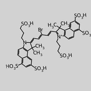 CC1(C)C(/C=C/C(Br)=C/C=C2/N(CCCS(=O)(=O)O)c3ccc4c(S(=O)(=O)O)cc(S(=O)(=O)O)cc4c3C2(C)C)=[N+](CCCS(=O)(=O)O)c2ccc3c(S(=O)(=O)O)cc(S(=O)(=O)O)cc3c21